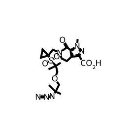 Cn1nc(C(=O)O)c2c1C(=O)N(CC1(S(=O)(=O)C(C)(C)COCC(C)(C)N=[N+]=[N-])CC1)CC2